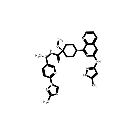 CO[C@]1(C(=O)N[C@@H](C)c2ccc(-n3cnc(C)n3)nc2)CC[C@H](c2nc(Nc3cc(C)[nH]n3)cc3cccnc32)CC1